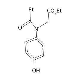 CCOC(=O)CN(C(=O)CC)c1ccc(O)cc1